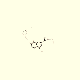 COC1CCN(CCOc2ccc3c(OC(C)C)cc(-c4csc(NC(C)C)n4)nc3c2Cl)C1